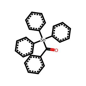 O=[C](c1ccccc1)[Sn]([c]1ccccc1)([c]1ccccc1)[c]1ccccc1